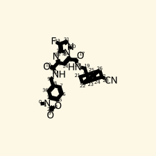 Cn1c(=O)oc2ccc(CNC(=O)c3cc(C(=O)NCC45CC67C4C4C5C6C47C#N)n4ncc(F)c4n3)cc21